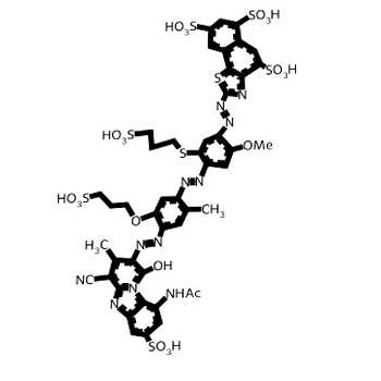 COc1cc(N=Nc2cc(OCCCS(=O)(=O)O)c(N=Nc3c(C)c(C#N)c4nc5cc(S(=O)(=O)O)cc(NC(C)=O)c5n4c3O)cc2C)c(SCCCS(=O)(=O)O)cc1N=Nc1nc2c(S(=O)(=O)O)cc3c(S(=O)(=O)O)cc(S(=O)(=O)O)cc3c2s1